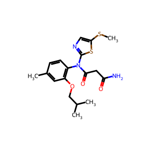 CSc1cnc(N(C(=O)CC(N)=O)c2ccc(C)cc2OCC(C)C)s1